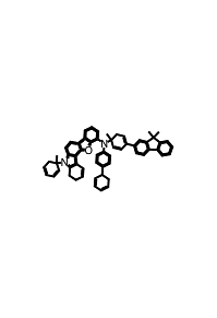 CC1(C)c2ccccc2-c2ccc(C3=CCC(C)(N(c4ccc(C5C=CC=CC5)cc4)c4cccc5c4oc4c5ccc5c4c4c(n5C5(C)C=CC=CC5)CCC=C4)C=C3)cc21